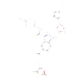 Cc1oc(=O)oc1COC(=O)c1ccc2c(c1)c(C(=O)NC1CCN(C(C)C)CC1)nn2Cc1cc(-c2ccc(Cl)s2)on1